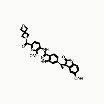 COc1ccc2c(c1)[C@]1(C[C@H]1c1ccc3c(Nc4ccc(C(=O)N5CC6(COC6)C5)nc4OC)n[nH]c3c1)C(=O)N2